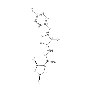 N#C[C@@H]1C[C@H](F)CN1C(=O)CNC1CCN(Cc2ccc(F)cc2)C1=O